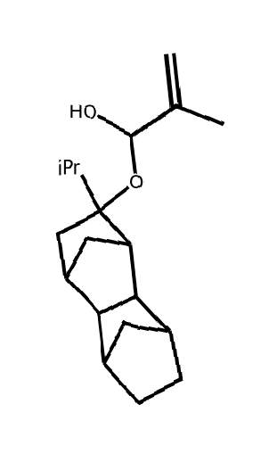 C=C(C)C(O)OC1(C(C)C)CC2CC1C1C3CCC(C3)C21